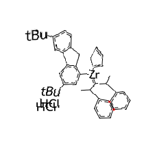 CC([C](C(C)c1ccccc1)=[Zr]([C]1=CC=CC1)[c]1cc(C(C)(C)C)cc2c1Cc1ccc(C(C)(C)C)cc1-2)c1ccccc1.Cl.Cl